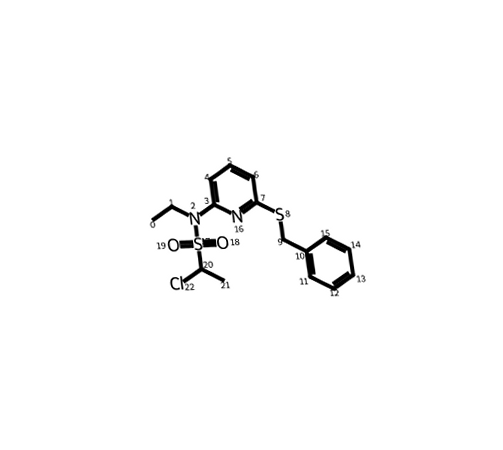 CCN(c1cccc(SCc2ccccc2)n1)S(=O)(=O)C(C)Cl